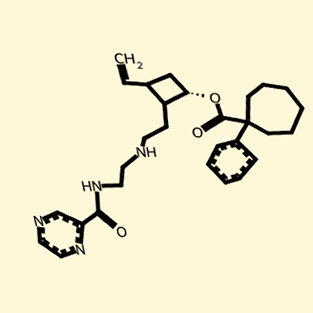 C=CC1C[C@H](OC(=O)C2(c3ccccc3)CCCCCC2)C1CCNCCNC(=O)c1cnccn1